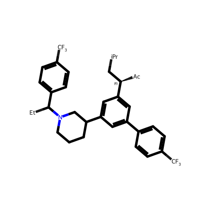 CCC(c1ccc(C(F)(F)F)cc1)N1CCCC(c2cc(-c3ccc(C(F)(F)F)cc3)cc([C@@H](CC(C)C)C(C)=O)c2)C1